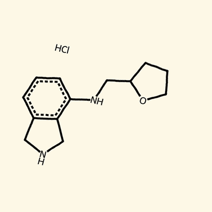 Cl.c1cc2c(c(NCC3CCCO3)c1)CNC2